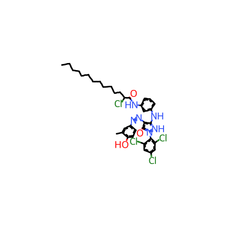 CCCCCCCCCCCCC(Cl)C(=O)Nc1cccc(Nc2[nH]n(-c3c(Cl)cc(Cl)cc3Cl)c(=O)c2N=Nc2ccc(O)c(C)c2)c1